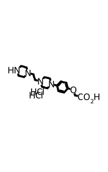 Cl.Cl.O=C(O)COc1ccc(N2CCN(CCN3CCNCC3)CC2)cc1